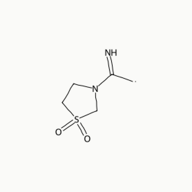 [CH2]C(=N)N1CCS(=O)(=O)C1